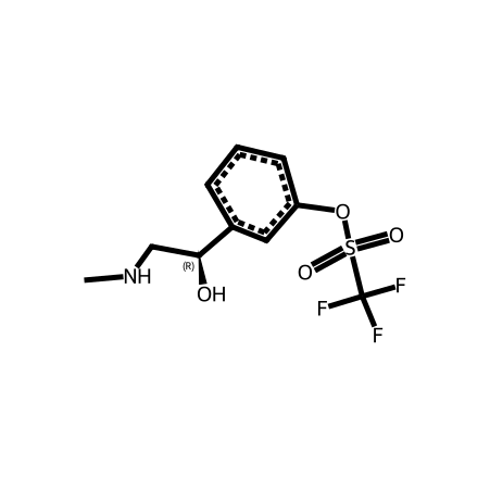 CNC[C@H](O)c1cccc(OS(=O)(=O)C(F)(F)F)c1